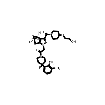 Cc1cccc(C2(F)CCN(C(=O)Cn3nc(C(=O)N4CCC(OCCO)CC4)c4c3C[C@H]3C[C@@H]43)CC2)c1C